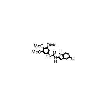 COc1cc(NC(=O)Nc2cc3cc(Cl)ccc3[nH]2)cc(OC)c1OC